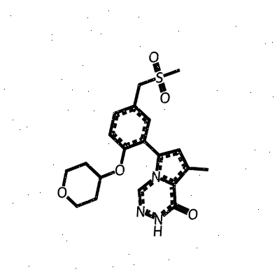 Cc1cc(-c2cc(CS(C)(=O)=O)ccc2OC2CCOCC2)n2cn[nH]c(=O)c12